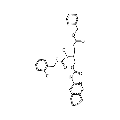 CN(C(=O)NCc1ccccc1Cl)[C@@H](CCC(=O)OCc1ccccc1)COC(=O)Nc1cc2ccccc2cn1